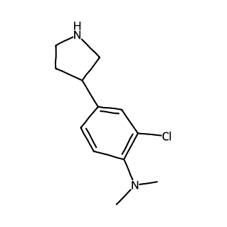 CN(C)c1ccc(C2CCNC2)cc1Cl